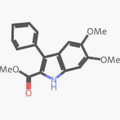 COC(=O)c1[nH]c2cc(OC)c(OC)cc2c1-c1ccccc1